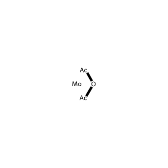 CC(=O)OC(C)=O.[Mo]